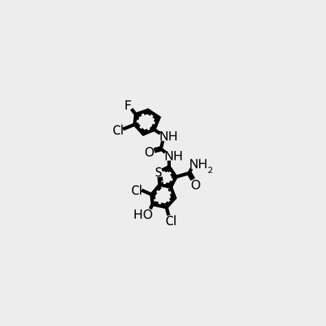 NC(=O)c1c(NC(=O)Nc2ccc(F)c(Cl)c2)sc2c(Cl)c(O)c(Cl)cc12